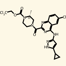 C[C@@H]1CN(C(=O)c2nc(Nc3cc(C4CC4)[nH]n3)c3cc(Cl)ccc3n2)CCN1C(=O)OCC(Cl)(Cl)Cl